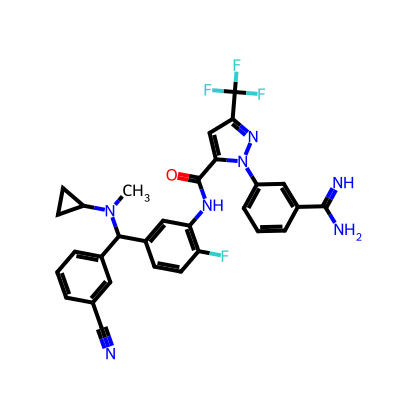 CN(C1CC1)C(c1cccc(C#N)c1)c1ccc(F)c(NC(=O)c2cc(C(F)(F)F)nn2-c2cccc(C(=N)N)c2)c1